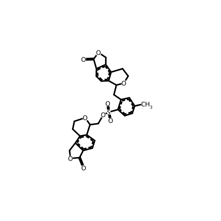 Cc1ccc(S(=O)(=O)OCC2OCCc3c2ccc2c3COC2=O)c(CC2OCCc3c2ccc2c3COC2=O)c1